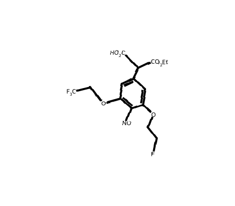 CCOC(=O)C(C(=O)O)c1cc(OCCF)c(N=O)c(OCC(F)(F)F)c1